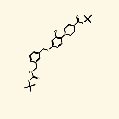 CC(C)(C)OC(=O)NCc1cccc(COc2cnc(N3CCN(C(=O)OC(C)(C)C)CC3)c(Cl)c2)c1